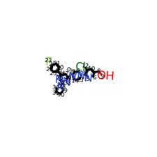 C[C@@H]1CN(c2ncc(CO)cc2Cl)CCN1c1cc(-c2ccc(F)cc2)nc(N2CCCC2)n1